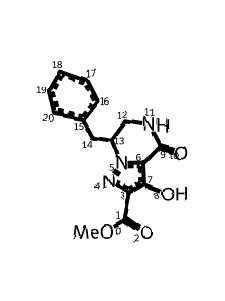 COC(=O)c1nn2c(c1O)C(=O)NCC2Cc1ccccc1